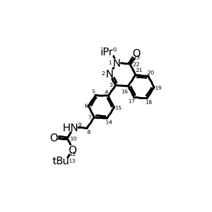 CC(C)n1nc(-c2ccc(CNC(=O)OC(C)(C)C)cc2)c2ccccc2c1=O